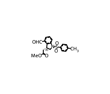 COC(=O)C[C@H]1CN(S(=O)(=O)c2ccc(C)cc2)c2cccc(C=O)c21